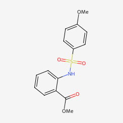 COC(=O)c1ccccc1NS(=O)(=O)c1ccc(OC)cc1